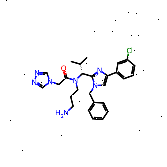 CC(C)[C@H](c1nc(-c2cccc(Cl)c2)cn1Cc1ccccc1)N(CCCN)C(=O)Cn1cnnc1